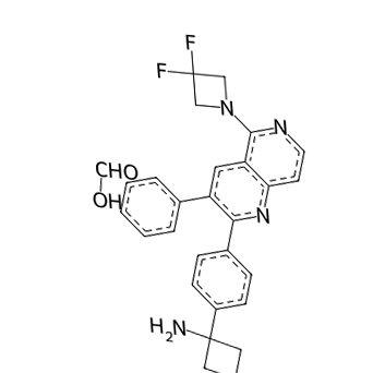 NC1(c2ccc(-c3nc4ccnc(N5CC(F)(F)C5)c4cc3-c3ccccc3)cc2)CCC1.O=CO